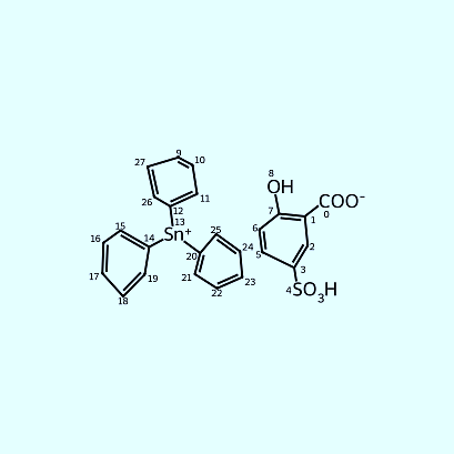 O=C([O-])c1cc(S(=O)(=O)O)ccc1O.c1cc[c]([Sn+]([c]2ccccc2)[c]2ccccc2)cc1